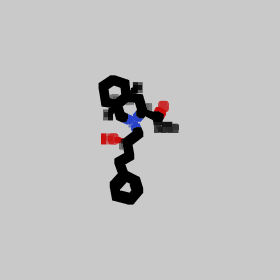 CNC(=O)[C@@H]1C[C@@H]2CCCC[C@@H]2CN1C[C@@H](O)CCc1ccccc1